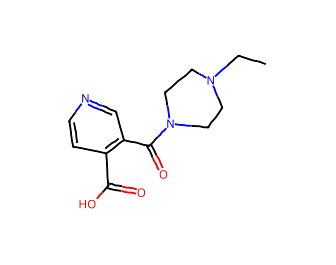 CCN1CCN(C(=O)c2cnccc2C(=O)O)CC1